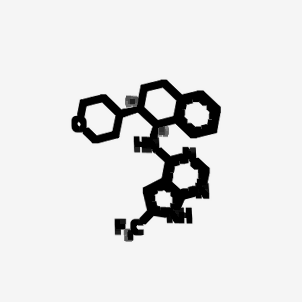 FC(F)(F)c1cc2c(N[C@@H]3c4ccccc4CC[C@@H]3C3CCOCC3)ncnc2[nH]1